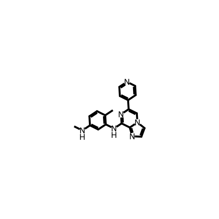 CNc1ccc(C)c(Nc2nc(-c3ccncc3)cn3ccnc23)c1